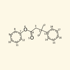 CC(C)(CC(=O)Oc1ccccc1)c1ccccc1